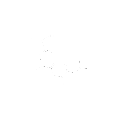 CCCCN(C)C(=O)CN(C)C(=O)CN(C)C(=O)CN(C)CC